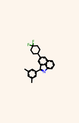 Cc1cc(C)cc(C2=Nc3cccc4cc(C5CCC(F)(F)CC5)cc2c34)c1